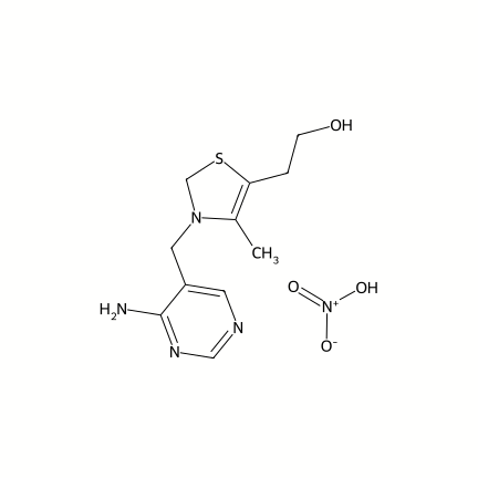 CC1=C(CCO)SCN1Cc1cncnc1N.O=[N+]([O-])O